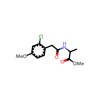 COC(=O)C(C)NC(=O)Cc1ccc(OC)cc1Cl